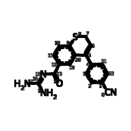 N#Cc1ccc(C2=CCSc3ccc(C(=O)N=C(N)N)cc32)cc1